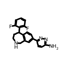 Nc1ccc(-c2ccc3c(c2)CNCCC3c2c(F)cccc2F)nn1